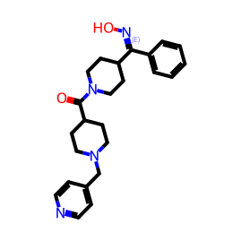 O=C(C1CCN(Cc2ccncc2)CC1)N1CCC(/C(=N\O)c2ccccc2)CC1